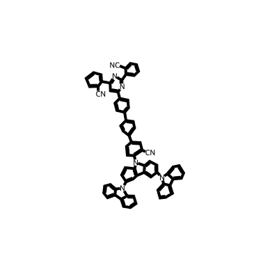 N#Cc1ccccc1-c1cc(-c2ccc(-c3ccc(-c4ccc(-n5c6ccc(-n7c8ccccc8c8ccccc87)cc6c6cc(-n7c8ccccc8c8ccccc87)ccc65)c(C#N)c4)cc3)cc2)nc(-c2ccccc2C#N)n1